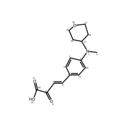 CN(c1ccc(C=CC(=O)C(=O)O)cc1)C1CCOCC1